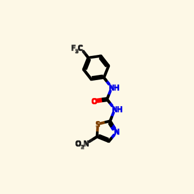 O=C(Nc1ccc(C(F)(F)F)cc1)Nc1ncc([N+](=O)[O-])s1